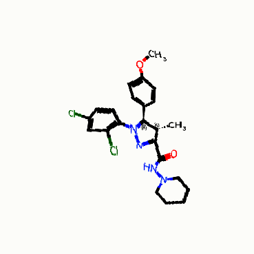 COc1ccc([C@H]2[C@H](C)C(C(=O)NN3CCCCC3)=NN2c2ccc(Cl)cc2Cl)cc1